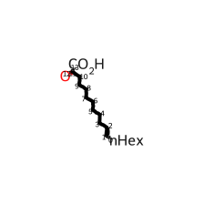 CCCCCCC=CCCCCCCCCC(=O)C(=O)O